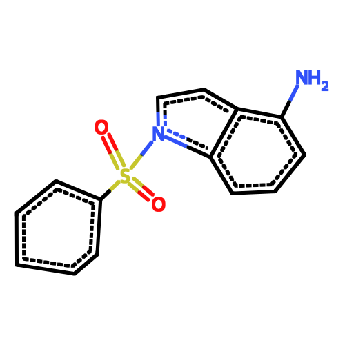 Nc1cccc2c1ccn2S(=O)(=O)c1ccccc1